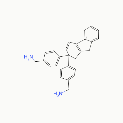 NCc1ccc(C2(c3ccc(CN)cc3)C=CC3=C(Cc4ccccc43)C2)cc1